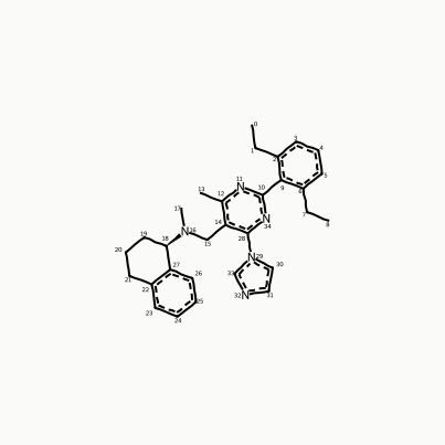 CCc1cccc(CC)c1-c1nc(C)c(CN(C)[C@@H]2CCCc3ccccc32)c(-n2ccnc2)n1